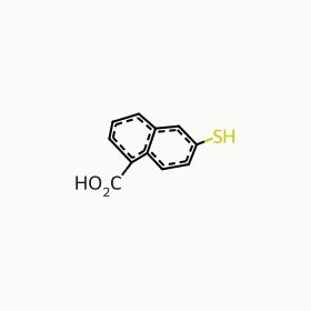 O=C(O)c1cccc2cc(S)ccc12